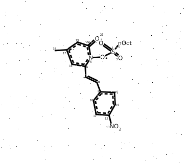 CCCCCCCCS(=O)(=O)On1c(/C=C/c2ccc([N+](=O)[O-])cc2)cc(C)cc1=O